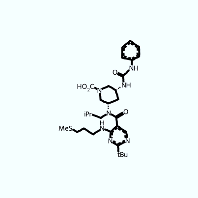 CSCCCNc1nc(C(C)(C)C)ncc1C(=O)N(CC(C)C)[C@H]1C[C@@H](NC(=O)Nc2ccccc2)CN(C(=O)O)C1